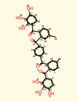 Cc1ccc(C(=O)c2ccc(O)c(O)c2O)c(C(=O)c2ccc(C(=O)c3cc(C)ccc3C(=O)c3ccc(O)c(O)c3O)cc2)c1